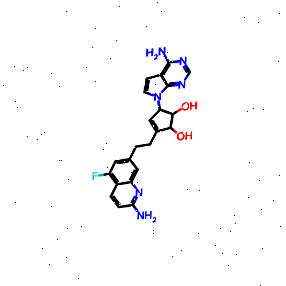 Nc1ccc2c(F)cc(CCC3=CC(n4ccc5c(N)ncnc54)C(O)C3O)cc2n1